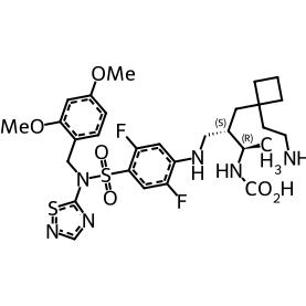 COc1ccc(CN(c2ncns2)S(=O)(=O)c2cc(F)c(NC[C@H](CC3(CCN)CCC3)[C@@H](C)NC(=O)O)cc2F)c(OC)c1